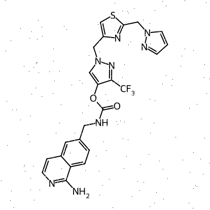 Nc1nccc2cc(CNC(=O)Oc3cn(Cc4csc(Cn5cccn5)n4)nc3C(F)(F)F)ccc12